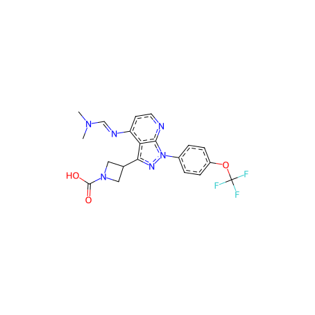 CN(C)C=Nc1ccnc2c1c(C1CN(C(=O)O)C1)nn2-c1ccc(OC(F)(F)F)cc1